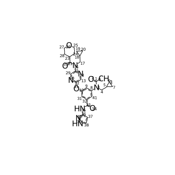 CC(=O)N(CC1CC1)c1cc(Oc2cnc(N(CC3CC3)C(=O)C3CCOCC3)cn2)cc(C(=O)Nc2cc[nH]n2)c1